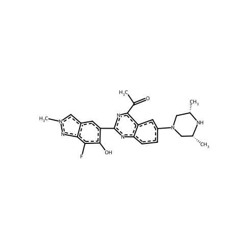 CC(=O)c1nc(-c2cc3cn(C)nc3c(F)c2O)nc2ccc(N3C[C@@H](C)N[C@@H](C)C3)cc12